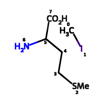 CI.CSCCC(N)C(=O)O